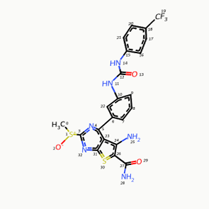 C[S+]([O-])c1nc(-c2cccc(NC(=O)Nc3ccc(C(F)(F)F)cc3)c2)c2c(N)c(C(N)=O)sc2n1